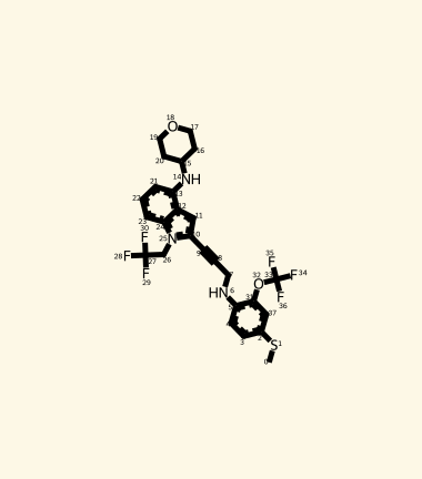 CSc1ccc(NCC#Cc2cc3c(NC4CCOCC4)cccc3n2CC(F)(F)F)c(OC(F)(F)F)c1